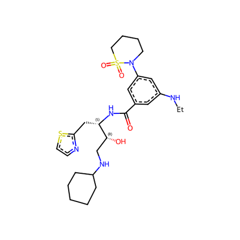 CCNc1cc(C(=O)N[C@@H](Cc2nccs2)[C@H](O)CNC2CCCCC2)cc(N2CCCCS2(=O)=O)c1